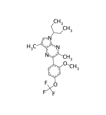 CCC(CC)n1cc(C)c2nc(-c3ccc(OC(F)(F)F)cc3OC)c(C)nc21